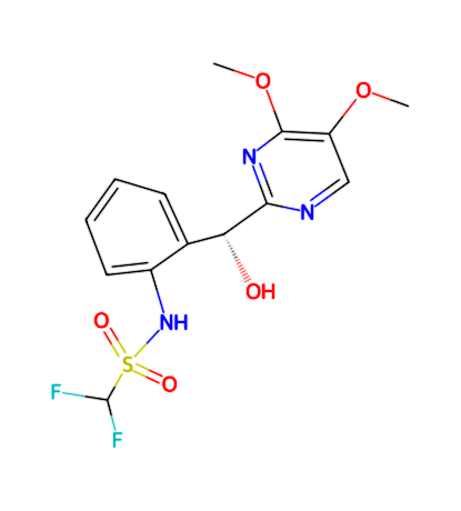 COc1cnc([C@H](O)c2ccccc2NS(=O)(=O)C(F)F)nc1OC